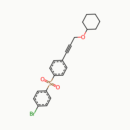 O=S(=O)(c1ccc(Br)cc1)c1ccc(C#CCOC2CCCCC2)cc1